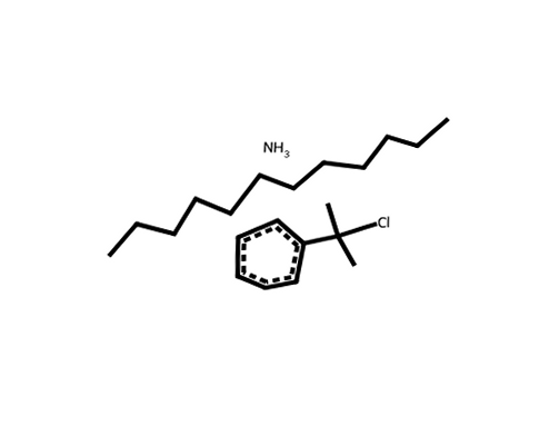 CC(C)(Cl)c1ccccc1.CCCCCCCCCCCC.N